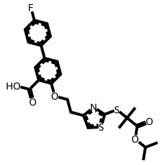 CC(C)OC(=O)C(C)(C)Sc1nc(CCOc2ccc(-c3ccc(F)cc3)cc2C(=O)O)cs1